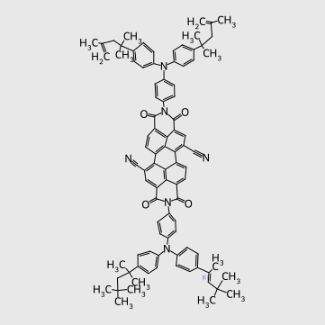 C=C(C)CC(C)(C)c1ccc(N(c2ccc(N3C(=O)c4ccc5c6c(C#N)cc7c8c(ccc(c9c(C#N)cc(c4c59)C3=O)c86)C(=O)N(c3ccc(N(c4ccc(/C(C)=C/C(C)(C)C)cc4)c4ccc(C(C)(C)CC(C)(C)C)cc4)cc3)C7=O)cc2)c2ccc(C(C)(C)CC(=C)C)cc2)cc1